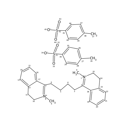 C[N+]1=C(CCCCC2=[N+](C)CCc3ccccc32)c2ccccc2CC1.Cc1ccc(S(=O)(=O)[O-])cc1.Cc1ccc(S(=O)(=O)[O-])cc1